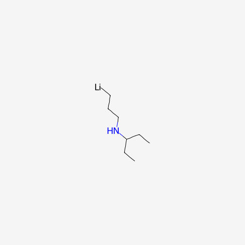 [Li][CH2]CCNC(CC)CC